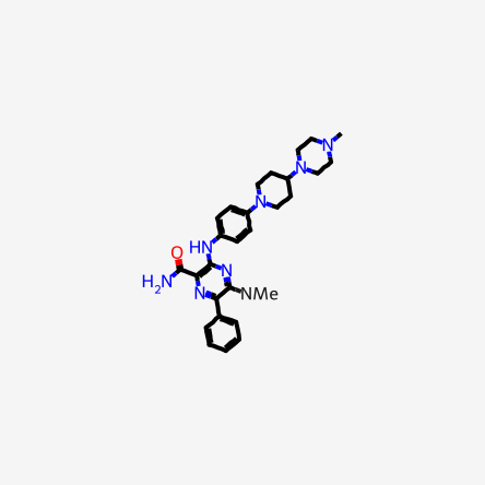 CNc1nc(Nc2ccc(N3CCC(N4CCN(C)CC4)CC3)cc2)c(C(N)=O)nc1-c1ccccc1